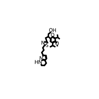 COc1c(C(C)C)cc(C(CC(=O)O)Cc2csc(CCCc3ccc4c(n3)NCCC4)n2)cc1C(C)C